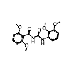 COc1cccc(NC(=O)NC(=O)c2c(OC)cccc2OC)c1OC